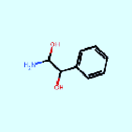 NC(O)C(O)c1ccccc1